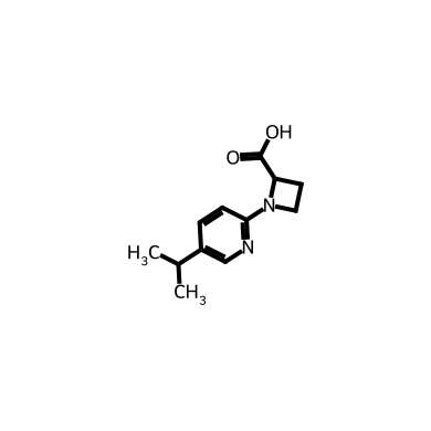 CC(C)c1ccc(N2CCC2C(=O)O)nc1